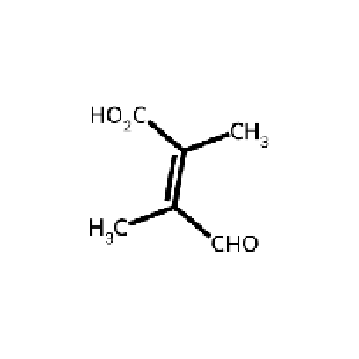 C/C(C=O)=C(/C)C(=O)O